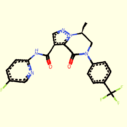 C[C@H]1CN(c2ccc(C(F)(F)F)cc2)C(=O)c2c(C(=O)Nc3ccc(F)cn3)cnn21